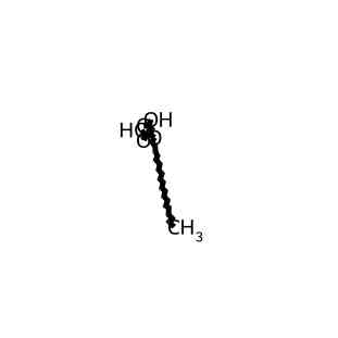 CCCCCCCCCCCCCCCCCCCCOC(CC(=O)O)C(=O)O